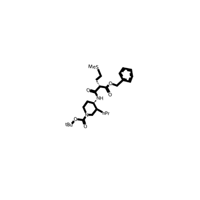 CCCC1CN(C(=O)OC(C)(C)C)CC[C@@H]1NC(=O)[C@H](CCSC)C(=O)OCc1ccccc1